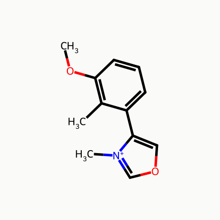 COc1cccc(-c2coc[n+]2C)c1C